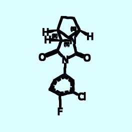 O=C1[C@@H]2[C@@H]3CC[C@@H](C3)N2C(=O)N1c1ccc(F)c(Cl)c1